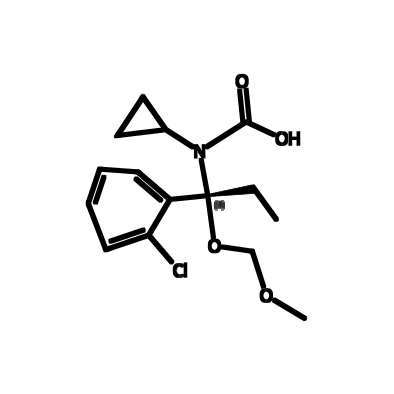 CC[C@@](OCOC)(c1ccccc1Cl)N(C(=O)O)C1CC1